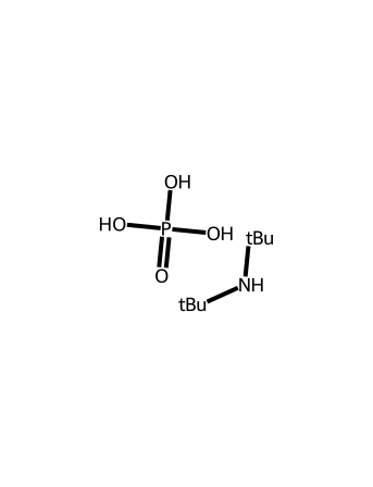 CC(C)(C)NC(C)(C)C.O=P(O)(O)O